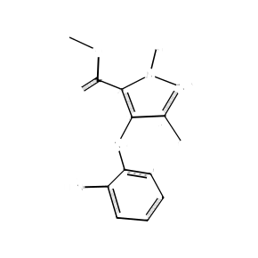 COC(=O)c1c(Nc2ccccc2N)c(C)nn1C